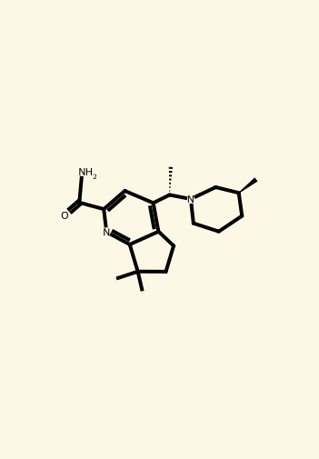 C[C@H]1CCCN([C@@H](C)c2cc(C(N)=O)nc3c2CCC3(C)C)C1